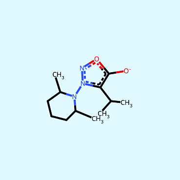 CC(C)c1c([O-])on[n+]1N1C(C)CCCC1C